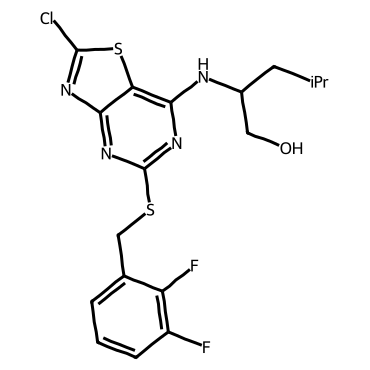 CC(C)CC(CO)Nc1nc(SCc2cccc(F)c2F)nc2nc(Cl)sc12